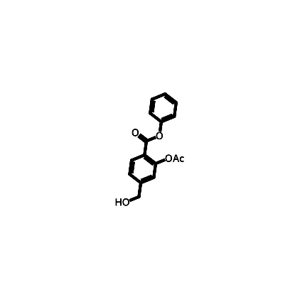 CC(=O)Oc1cc(CO)ccc1C(=O)Oc1ccccc1